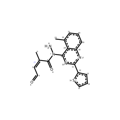 C/C(=C/C=O)C(=O)N(N)c1nc(-c2cccs2)nc2cccc(C)c12